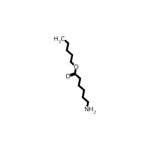 CCCCCOC(=O)CCCCCN